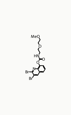 COCCOCCNC(=O)Oc1cccc2cc(Br)c(Br)nc12